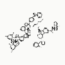 CCCCCCC(=Nc1ccccc1C(=O)O)C(=O)c1ccc(Sc2ccccc2)cc1.CCn1c2ccc(C(=O)c3ccccc3C)cc2c2cc(C(C)=NOC(C)=O)ccc21.Cc1cc(C)c(C(=O)P(=O)(C(=O)c2c(C)cc(C)cc2C)c2ccccc2)c(C)c1